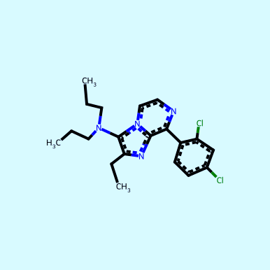 CCCN(CCC)c1c(CC)nc2c(-c3ccc(Cl)cc3Cl)nccn12